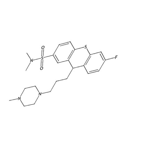 CN1CCN(CCCC2c3ccc(F)cc3Sc3ccc(S(=O)(=O)N(C)C)cc32)CC1